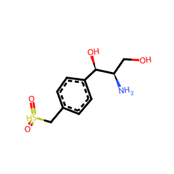 N[C@H](CO)[C@H](O)c1ccc(C[SH](=O)=O)cc1